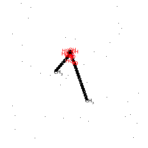 CCCCCCCC/C=C/CCCCCCCCCCCCCCCCCCCC(=O)OC[C@H](O)COP(=O)(O)O[C@@H]1C(OC(=O)CCCCCCCCCCCCCCC)C(O)[C@@H](O)[C@@H](O)C1O